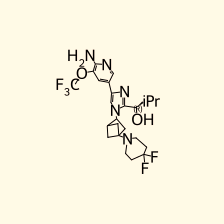 CC(C)[C@@H](O)c1nc(-c2cnc(N)c(OC(F)(F)F)c2)cn1C1CC2(N3CCC(F)(F)CC3)CC1C2